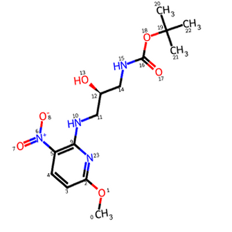 COc1ccc([N+](=O)[O-])c(NC[C@@H](O)CNC(=O)OC(C)(C)C)n1